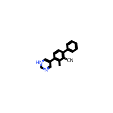 Cc1c(C2=CNCN=C2)ccc(-c2ccccc2)c1C#N